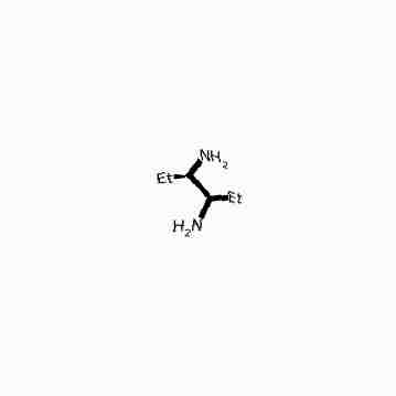 CCC(N)[C@H](N)CC